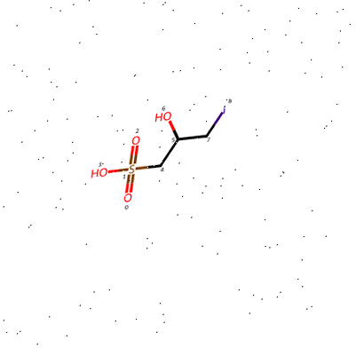 O=S(=O)(O)CC(O)CI